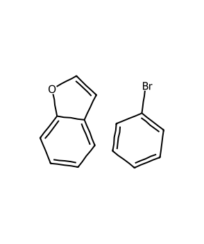 Brc1ccccc1.c1ccc2occc2c1